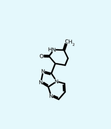 C=C1CCC(c2nnc3ncccn23)C(=O)N1